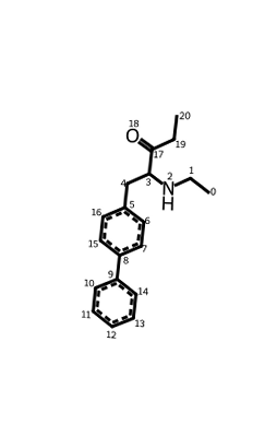 CCNC(Cc1ccc(-c2ccccc2)cc1)C(=O)CC